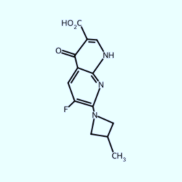 CC1CN(c2nc3[nH]cc(C(=O)O)c(=O)c3cc2F)C1